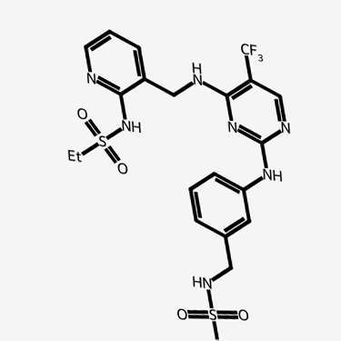 CCS(=O)(=O)Nc1ncccc1CNc1nc(Nc2cccc(CNS(=O)(=O)C(F)(F)F)c2)ncc1C(F)(F)F